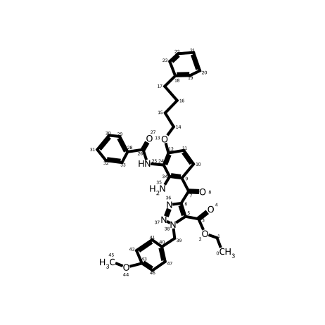 CCOC(=O)c1c(C(=O)c2ccc(OCCCCc3ccccc3)c(NC(=O)c3ccccc3)c2N)nnn1Cc1ccc(OC)cc1